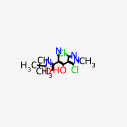 Cn1nc(Cl)c(C(O)=C(C#N)c2coc(C(C)(C)C)n2)c1Cl